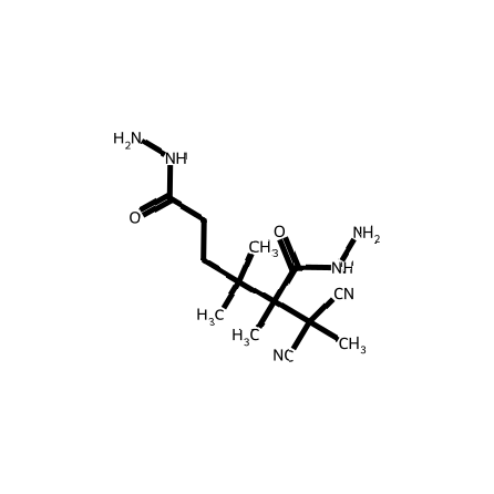 CC(C#N)(C#N)C(C)(C(=O)NN)C(C)(C)CCC(=O)NN